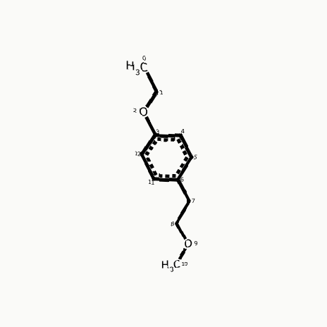 CCOc1ccc(C[CH]OC)cc1